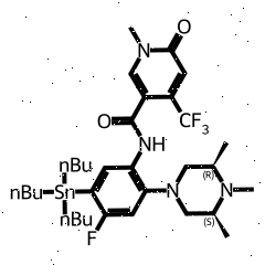 CCC[CH2][Sn]([CH2]CCC)([CH2]CCC)[c]1cc(NC(=O)c2cn(C)c(=O)cc2C(F)(F)F)c(N2C[C@@H](C)N(C)[C@@H](C)C2)cc1F